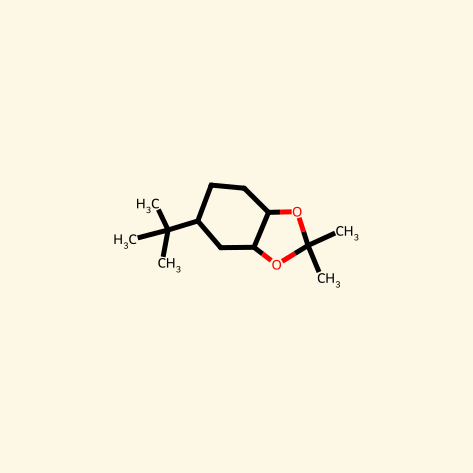 CC1(C)OC2CCC(C(C)(C)C)CC2O1